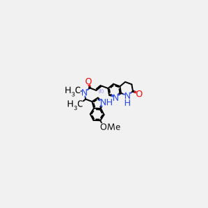 COc1ccc2c(C(C)N(C)C(=O)/C=C/c3cnc4c(c3)CCC(=O)N4)c[nH]c2c1